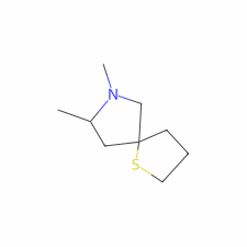 CC1CC2(CCCS2)CN1C